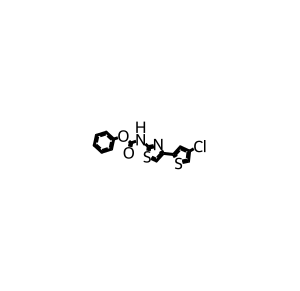 O=C(Nc1nc(-c2cc(Cl)cs2)cs1)Oc1ccccc1